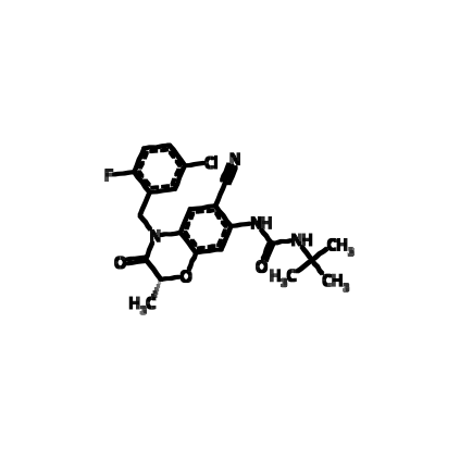 C[C@H]1Oc2cc(NC(=O)NC(C)(C)C)c(C#N)cc2N(Cc2cc(Cl)ccc2F)C1=O